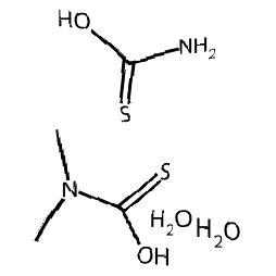 CN(C)C(O)=S.NC(O)=S.O.O